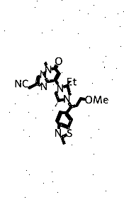 CC[C@H]1CN(C(CCOC)c2ccc3nc(C)sc3c2)[C@H](C)CN1c1cc(=O)n(C)n2cc(CC#N)nc12